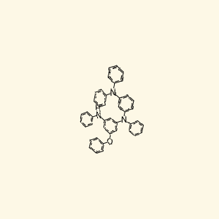 c1ccc(Nc2cc(Oc3ccccc3)cc(N(c3ccccc3)c3cccc(N(c4ccccc4)c4ccccc4)c3)c2)cc1